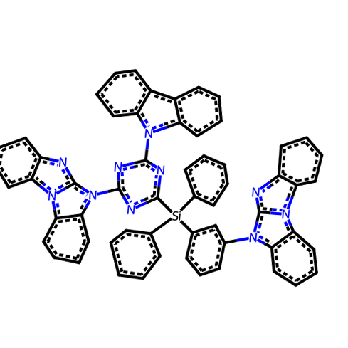 c1ccc([Si](c2ccccc2)(c2cccc(-n3c4ccccc4n4c5ccccc5nc34)c2)c2nc(-n3c4ccccc4c4ccccc43)nc(-n3c4ccccc4n4c5ccccc5nc34)n2)cc1